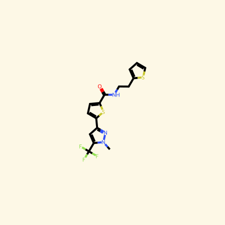 Cn1nc(-c2ccc(C(=O)NCCc3cccs3)s2)cc1C(F)(F)F